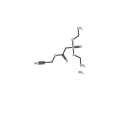 C#CCOC(=O)CP(=O)(OCC)OCC.P